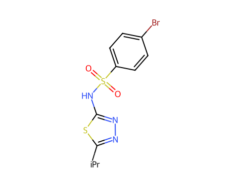 CC(C)c1nnc(NS(=O)(=O)c2ccc(Br)cc2)s1